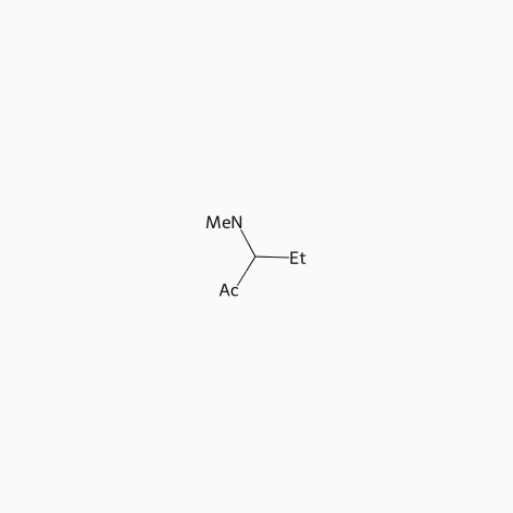 CCC(NC)C(C)=O